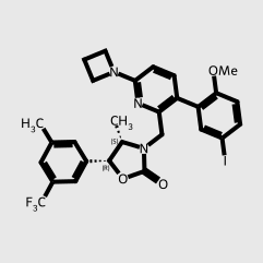 COc1ccc(I)cc1-c1ccc(N2CCC2)nc1CN1C(=O)O[C@H](c2cc(C)cc(C(F)(F)F)c2)[C@@H]1C